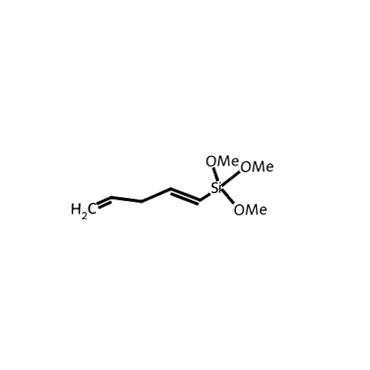 C=CCC=C[Si](OC)(OC)OC